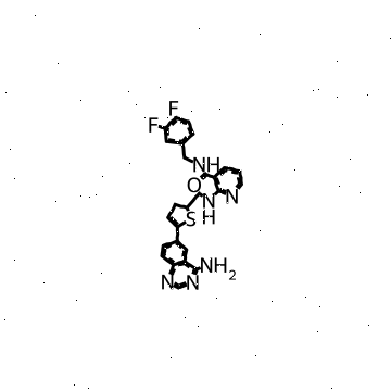 Nc1ncnc2ccc(C3=CCC(CNc4ncccc4C(=O)NCc4ccc(F)c(F)c4)S3)cc12